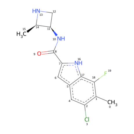 Cc1c(Cl)cc2cc(C(=O)N[C@@H]3CN[C@@H]3C)[nH]c2c1F